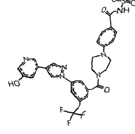 CS(=O)(=O)NC(=O)c1ccc(N2CCN(C(=O)c3cc(-n4cc(-c5cncc(O)c5)cn4)cc(C(F)(F)F)c3)CC2)cc1